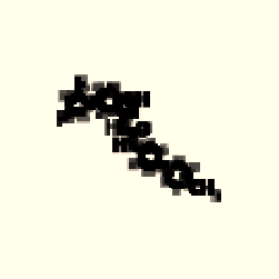 CN1CCN(c2ccc(NC(=O)Nc3n[nH]c4ncc([SH]5C=C(F)C=C5F)cc34)cc2)CC1